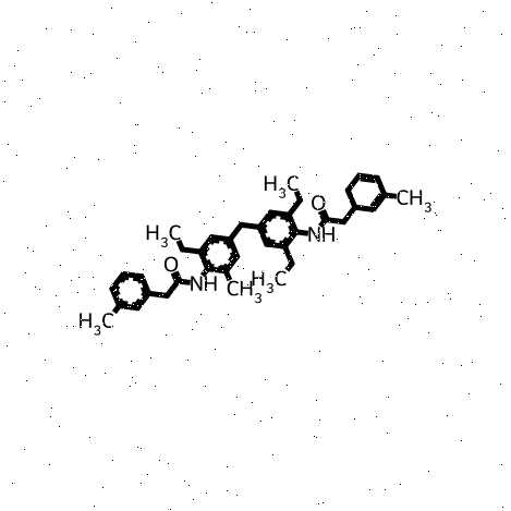 CCc1cc(Cc2cc(CC)c(NC(=O)CC3C=C(C)C=CC3)c(CC)c2)cc(C)c1NC(=O)Cc1cccc(C)c1